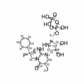 N=c1n([C@@H]2N[C@H](COP(=O)(O)OP(=O)(O)O)[C@H](O)[C@@H]2O)cc(I)c(=O)n1CC(F)(F)c1ccccc1